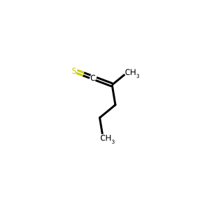 CCCC(C)=C=S